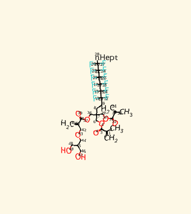 C=C(C)C(=O)OCC(CCC(F)(F)C(F)(F)C(F)(F)C(F)(F)C(F)(F)C(F)(F)CCCCCCC)(COC(=O)C(=C)C)COC(=O)C(=C)COCC(CO)CO